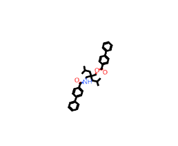 CC(C)CC(CNC(=O)c1ccc(-c2ccccc2)cc1)(COC(=O)c1ccc(-c2ccccc2)cc1)CC(C)C